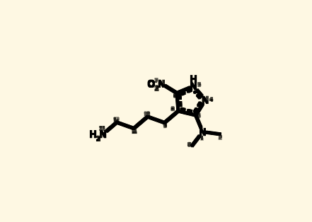 CN(C)c1n[nH]c([N+](=O)[O-])c1CCCCN